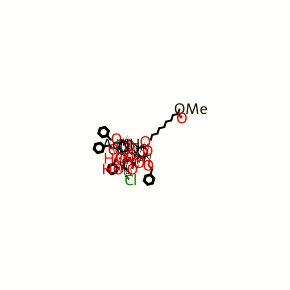 COC(=O)CCCCCCCCO[C@@H]1O[C@H](COCc2ccccc2)[C@@H](O[C@@H]2O[C@H](CCl)[C@H](O)[C@H](O)[C@H]2O)[C@H](O[C@@H]2O[C@@H](C)[C@@H](OCc3ccccc3)[C@@H](OCc3ccccc3)[C@@H]2OCc2ccccc2)[C@H]1NC(C)=O